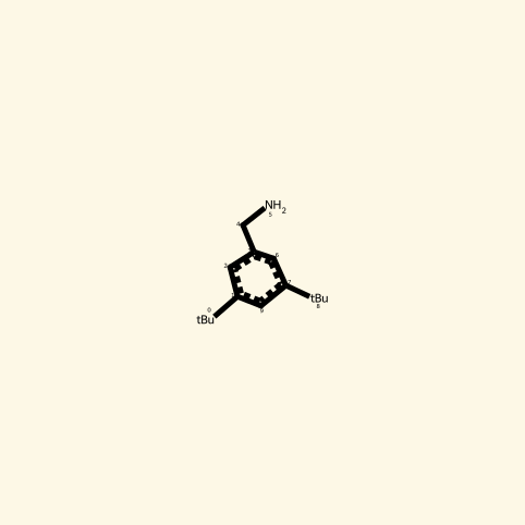 CC(C)(C)c1cc(CN)cc(C(C)(C)C)c1